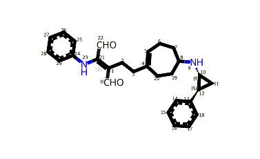 O=C/C(CCC1=CCCC(N[C@@H]2C[C@H]2c2ccccc2)CC1)=C(/C=O)Nc1ccccc1